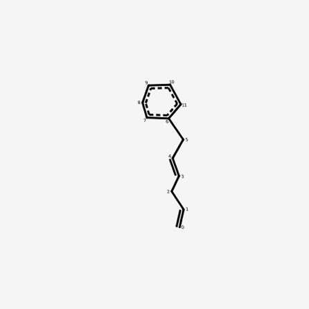 C=CC/C=C/Cc1ccccc1